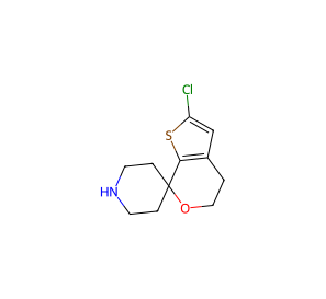 Clc1cc2c(s1)C1(CCNCC1)OCC2